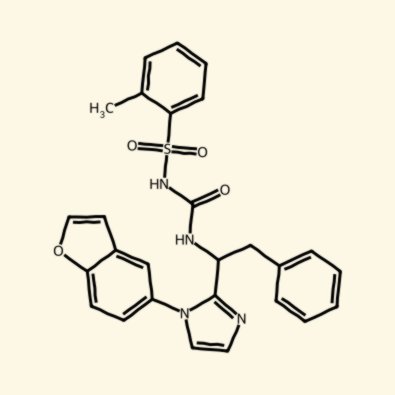 Cc1ccccc1S(=O)(=O)NC(=O)NC(Cc1ccccc1)c1nccn1-c1ccc2occc2c1